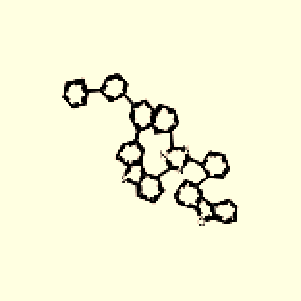 c1ccc(-c2cccc(-c3cccc(-c4ccc5sc6cccc(-c7nc(-c8ccccc8)nc(-c8ccccc8-c8cccc9oc%10ccccc%10c89)n7)c6c5c4)c3)c2)cc1